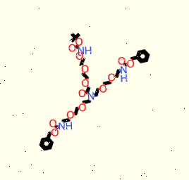 CC(C)(C)OC(=O)NOCCOCCOCC(=O)N(CCOCCOCCNC(=O)OCc1ccccc1)CCOCCOCCNC(=O)OCc1ccccc1